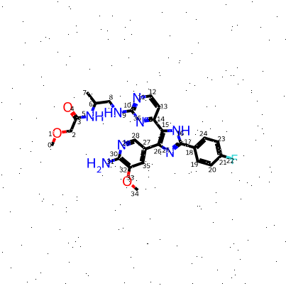 COCC(=O)NC(C)CNc1nccc(-c2[nH]c(-c3ccc(F)cc3)nc2-c2cnc(N)c(OC)c2)n1